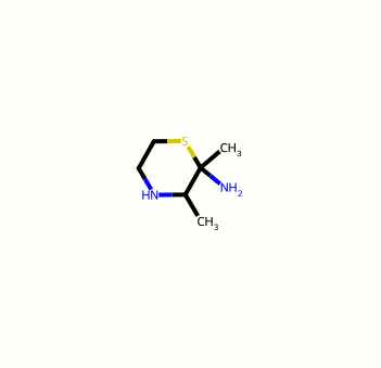 CC1NCCSC1(C)N